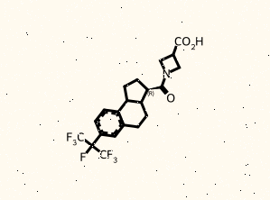 O=C(O)C1CN(C(=O)[C@@H]2CCC3c4ccc(C(F)(C(F)(F)F)C(F)(F)F)cc4CCC32)C1